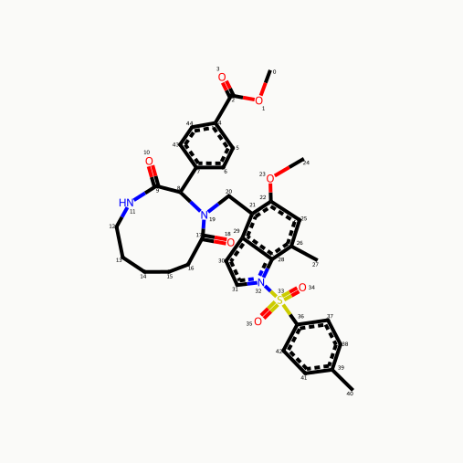 COC(=O)c1ccc(C2C(=O)NCCCCCC(=O)N2Cc2c(OC)cc(C)c3c2ccn3S(=O)(=O)c2ccc(C)cc2)cc1